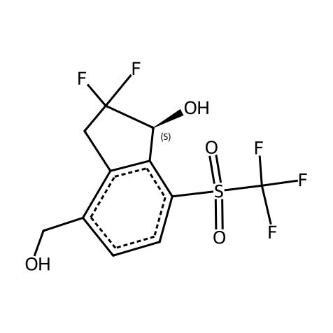 O=S(=O)(c1ccc(CO)c2c1[C@H](O)C(F)(F)C2)C(F)(F)F